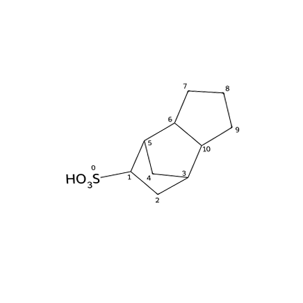 O=S(=O)(O)C1CC2CC1C1CCCC21